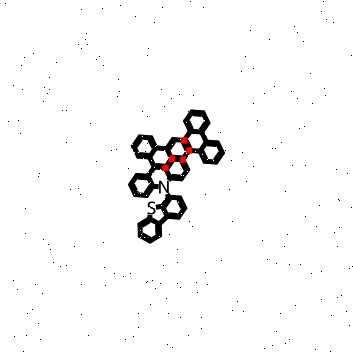 c1ccc(N(c2ccc(-c3cc4ccccc4c4ccccc34)cc2)c2cccc3c2sc2ccccc23)c(-c2cc3ccccc3c3ccccc23)c1